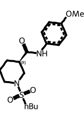 CCCCS(=O)(=O)N1CCC[C@@H](C(=O)Nc2ccc(OC)cc2)C1